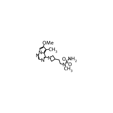 COc1cn2ncnc(N3CC(CCN(C)S(N)(=O)=O)C3)c2c1C